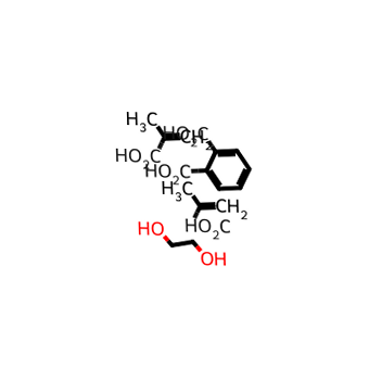 C=C(C)C(=O)O.C=C(C)C(=O)O.O=C(O)c1ccccc1C(=O)O.OCCO